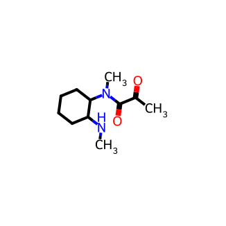 CNC1CCCCC1N(C)C(=O)C(C)=O